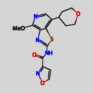 COc1ncc(C2CCOCC2)c2sc(NC(=O)c3ccon3)nc12